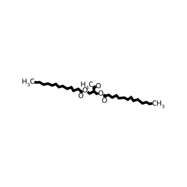 CCCCCCCCCCCCCC(=O)OCC(COC(=O)CCCCCCCCCCCCC)C(C)=O